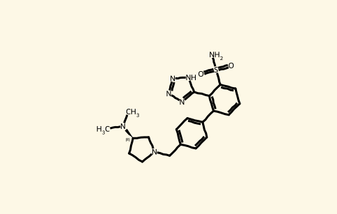 CN(C)[C@@H]1CCN(Cc2ccc(-c3cccc(S(N)(=O)=O)c3-c3nnn[nH]3)cc2)C1